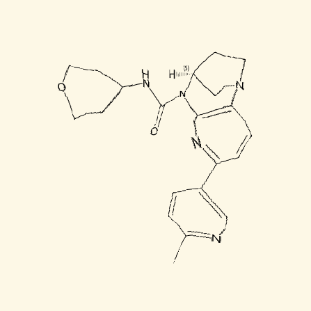 Cc1ccc(-c2ccc3c(n2)N(C(=O)NC2CCOCC2)[C@H]2CCN3C2)cn1